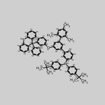 Cc1cc(C)c(-c2cc(Oc3cccc(C4(c5ccccn5)c5ccccc5Sc5ccccc54)c3)cc(-c3cc(N(c4ccc(C(C)(C)C)cc4)c4ccc(C(C)(C)C)cc4)ccn3)c2)c(C)c1